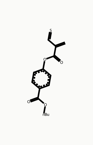 C=C(C=S)C(=O)Oc1ccc(C(=O)OCCCC)cc1